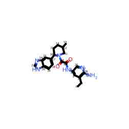 CCc1cc(NC(=O)C(=O)N2CC(C)CCC2c2ccc3[nH]cnc3c2)cnc1N